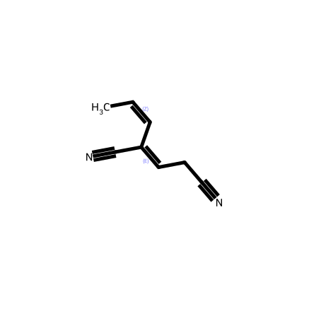 C/C=C\C(C#N)=C/CC#N